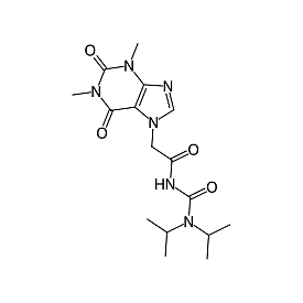 CC(C)N(C(=O)NC(=O)Cn1cnc2c1c(=O)n(C)c(=O)n2C)C(C)C